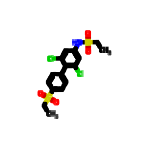 CCS(=O)(=O)Nc1cc(Cl)c(-c2ccc(S(=O)(=O)CC)cc2)c(Cl)c1